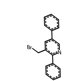 BrCc1cc(-c2ccccc2)cnc1-c1ccccc1